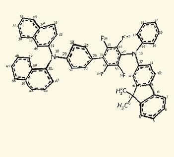 CC1(C)c2ccccc2-c2ccc(N(c3ccccc3)c3c(F)c(F)c(-c4ccc(N(c5ccc6ccccc6c5)c5cccc6ccccc56)cc4)c(F)c3F)cc21